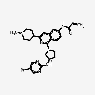 C=CC(=O)Nc1ccc2c(N3CC[C@@H](Nc4ncc(Br)cn4)C3)nc(C3CCN(C)CC3)cc2c1